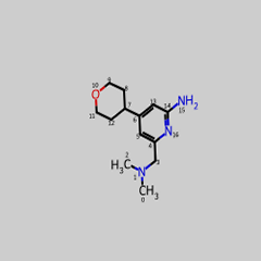 CN(C)Cc1cc(C2CCOCC2)cc(N)n1